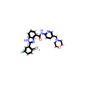 O=C(Nc1ccc(CN2CCOCC2)cn1)c1cccc2[nH]c(-c3cc(F)ccc3C(F)(F)F)nc12